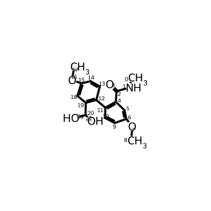 CNC(=O)c1cc(OC)ccc1-c1ccc(OC)cc1C(O)O